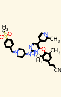 Cc1cc(-c2cnc(NC3CCN(Cc4ccc(S(C)(=O)=O)cc4)CC3)nc2Oc2c(C)cc(/C=C/C#N)cc2C)ccn1